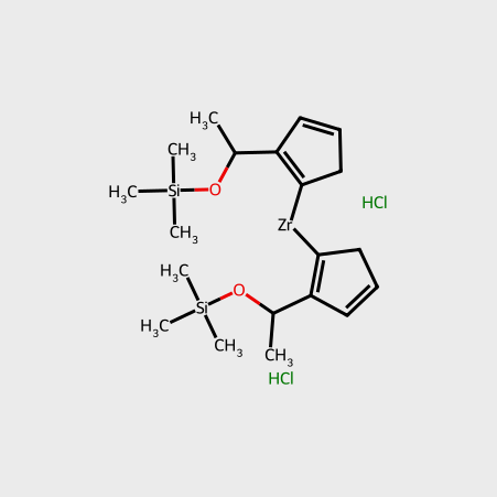 CC(O[Si](C)(C)C)C1=[C]([Zr][C]2=C(C(C)O[Si](C)(C)C)C=CC2)CC=C1.Cl.Cl